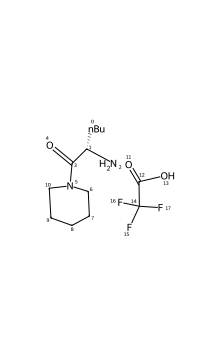 CCCC[C@H](N)C(=O)N1CCCCC1.O=C(O)C(F)(F)F